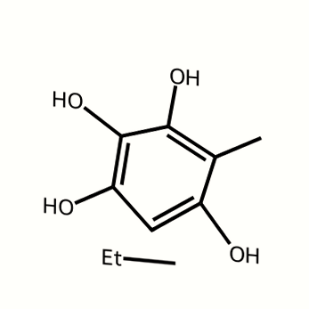 CCC.Cc1c(O)cc(O)c(O)c1O